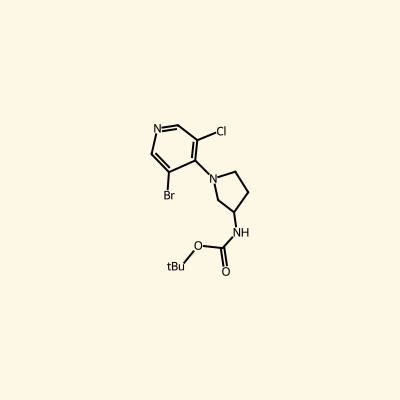 CC(C)(C)OC(=O)NC1CCN(c2c(Cl)cncc2Br)C1